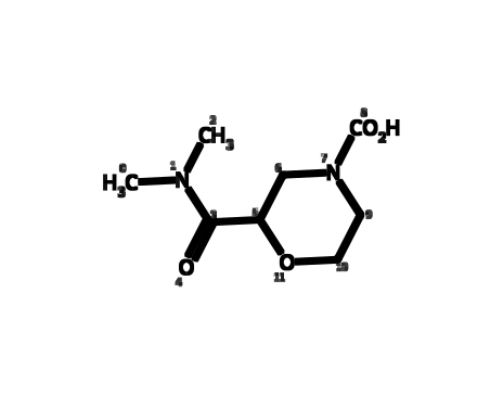 CN(C)C(=O)C1CN(C(=O)O)CCO1